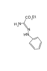 CCOC(=O)C(N)=NNc1ccccc1